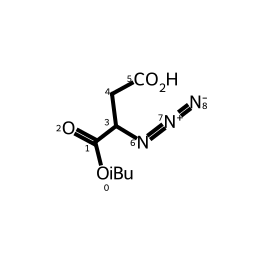 CC(C)COC(=O)C(CC(=O)O)N=[N+]=[N-]